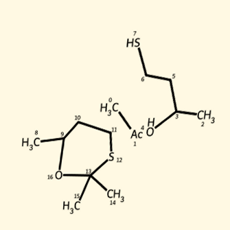 CC(C)=O.CC(O)CCS.CC1CCSC(C)(C)O1